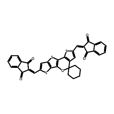 O=C1C(=Cc2cc3c(s2)-c2sc4cc(C=C5C(=O)c6ccccc6C5=O)sc4c2OC32CCCCC2)C(=O)c2ccccc21